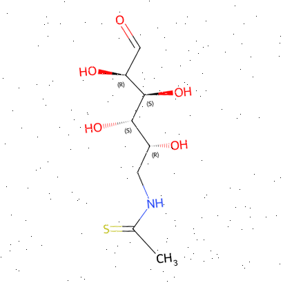 CC(=S)NC[C@@H](O)[C@H](O)[C@H](O)[C@@H](O)C=O